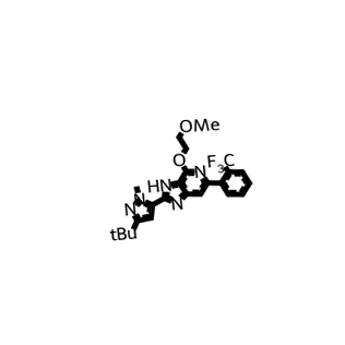 COCCOc1nc(-c2ccccc2C(F)(F)F)cc2nc(-c3cc(C(C)(C)C)nn3C)[nH]c12